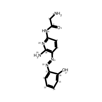 NCC(=O)Nc1ccc(N=Nc2ccccc2O)c(N)n1